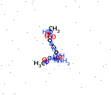 C=C1CCC(N2C(=O)c3ccc(N4CC5(CCN(c6ccc(Nc7nc(N8CCC[C@H](N9CCN(C)C9=O)C8)cnc7C(N)=O)cc6)CC5)C4)cc3C2=O)C(=O)N1